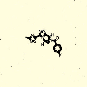 Cc1nsc(-c2nnc3n2[C@@H]2C[C@H]3N(C(=O)c3ccc(F)cc3)C2)n1